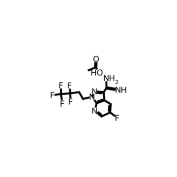 CC(=O)O.N=C(N)c1nn(CCC(F)(F)C(F)(F)F)c2ncc(F)cc12